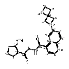 N#C[C@@H]1CSCN1C(=O)CNC(=O)c1ccnc2ccc(N3CC4(CCO4)C3)cc12